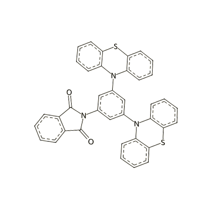 O=C1c2ccccc2C(=O)N1c1cc(N2c3ccccc3Sc3ccccc32)cc(N2c3ccccc3Sc3ccccc32)c1